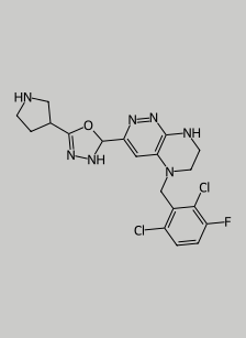 Fc1ccc(Cl)c(CN2CCNc3nnc(C4NN=C(C5CCNC5)O4)cc32)c1Cl